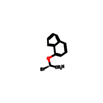 CC[C@H](Oc1cccc2ccccc12)C(=O)O